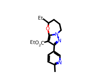 CCOC(=O)c1c(-c2ccc(C)nc2)nn2c1OC(CC)CCC2